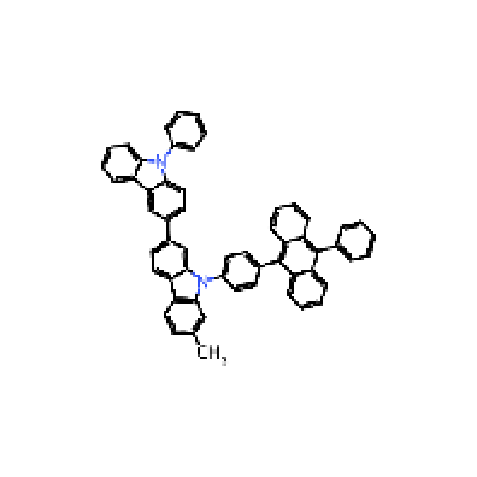 Cc1ccc2c3ccc(-c4ccc5c(c4)c4ccccc4n5-c4ccccc4)cc3n(-c3ccc(-c4c5ccccc5c(-c5ccccc5)c5ccccc45)cc3)c2c1